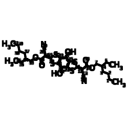 CCCCC(CC)COC(=O)C(C#N)=C1Sc2c(O)c3c(c(O)c2S1)SC(=C(C#N)C(=O)OCC(CC)CCCC)S3